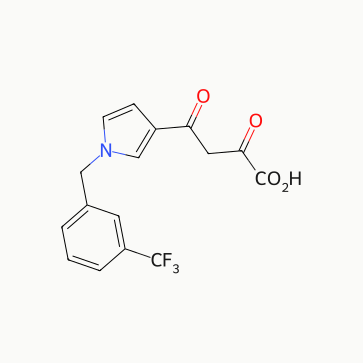 O=C(O)C(=O)CC(=O)c1ccn(Cc2cccc(C(F)(F)F)c2)c1